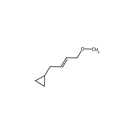 COCC=CCC1[CH]C1